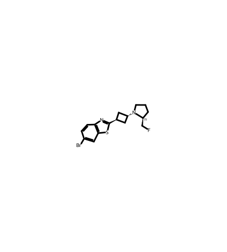 FC[C@@H]1CCCN1[C@H]1C[C@H](c2nc3ccc(Br)cc3s2)C1